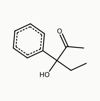 CCC(O)(C(C)=O)c1ccccc1